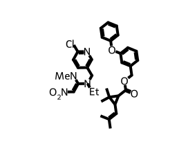 CC(C)=CC1C(C(=O)OCc2cccc(Oc3ccccc3)c2)C1(C)C.CCN(Cc1ccc(Cl)nc1)/C(=C/[N+](=O)[O-])NC